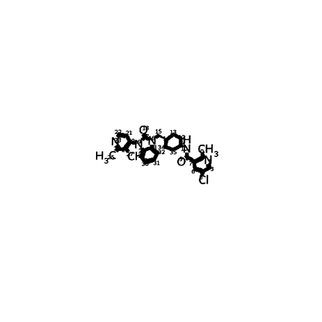 Cc1ncc(Cl)cc1C(=O)N[C@H]1CC[C@H](Cn2c(=O)n(-c3ccnc(C)c3C)c3ccccc32)CC1